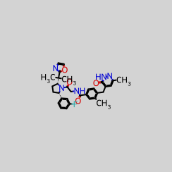 Cc1cc(Cc2ccc(C(=O)NCC(=O)N3[C@H](c4cccc(F)c4)CC[C@@H]3C(C)(C)c3ncco3)cc2C)c(=O)[nH]n1